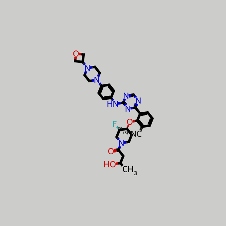 CC(O)CC(=O)N1CC[C@H](Oc2c(C#N)cccc2-c2ncnc(Nc3ccc(N4CCN(C5COC5)CC4)cc3)n2)[C@H](F)C1